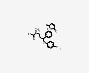 CCC(=O)N(C)CCC(Oc1ccc(C(F)(F)F)cc1)c1ccccc1.O=C1C=CC(=O)N1